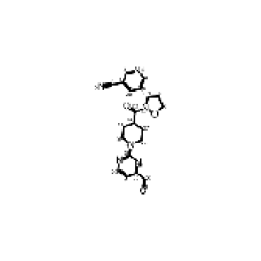 N#Cc1cncc([C@@H]2CCON2C(=O)C2CCN(c3nccc(C=O)n3)CC2)c1